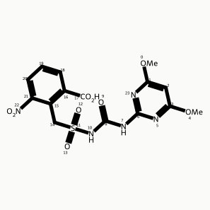 COc1cc(OC)nc(NC(=O)NS(=O)(=O)Cc2c(C(=O)O)cccc2[N+](=O)[O-])n1